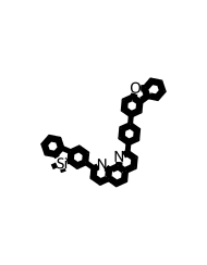 C[Si]1(C)c2ccccc2-c2ccc(-c3ccc4ccc5ccc(-c6ccc(-c7ccc8oc9ccccc9c8c7)cc6)nc5c4n3)cc21